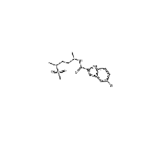 CC(CCN(C)S(C)(=O)=O)NC(=O)c1cc2cc(Cl)ccc2[nH]1